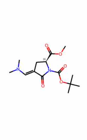 COC(=O)[C@@H]1CC(=CN(C)C)C(=O)N1C(=O)OC(C)(C)C